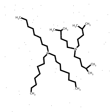 CC(C)CC[CH2][Al]([CH2]CCC(C)C)[CH2]CCC(C)C.CCCCCCC[CH2][Al]([CH2]CCCCCCC)[CH2]CCCCCCC